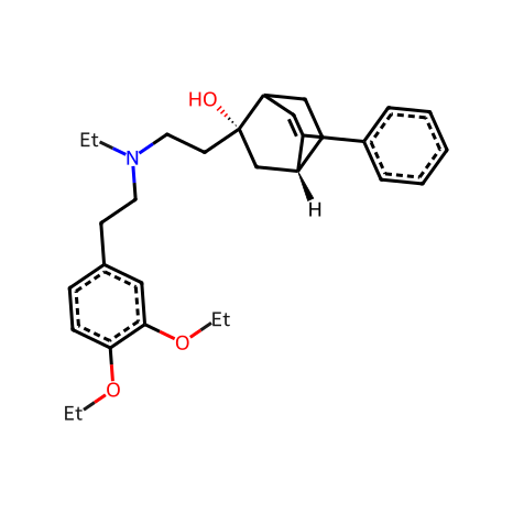 CCOc1ccc(CCN(CC)CC[C@]2(O)C[C@H]3CCC2C=C3c2ccccc2)cc1OCC